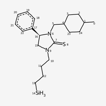 CC1CCC(CN2C(=S)N(CCCC[SiH3])C[C@H]2c2ccccc2)CC1